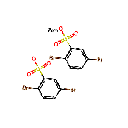 O=S(=O)([O-])c1cc(Br)ccc1Br.O=S(=O)([O-])c1cc(Br)ccc1Br.[Zn+2]